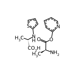 C[C@H](N)C(=O)Oc1ccccn1.C[C@H](Nc1cccs1)C(=O)O